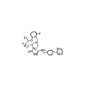 CCC(Oc1cccc(F)c1CN1C[C@@H](C)N(C(=O)C(C)C)[C@@H](C(=O)NCc2ccc(-c3ncccn3)cc2)C1)C(F)(F)F